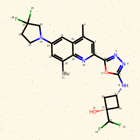 Cc1cc(-c2nnc(N[C@H]3C[C@](O)(C(F)F)C3)o2)nc2c(C(C)(C)C)cc(N3CCC(F)(F)C3)cc12